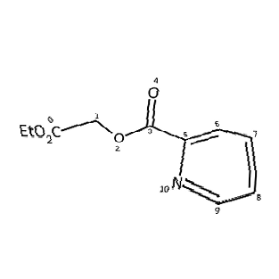 CCOC(=O)COC(=O)c1ccccn1